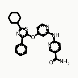 NC(=O)c1ccc(Nc2cc(Oc3sc(C4CCCCC4)nc3-c3ccccc3)ccn2)nc1